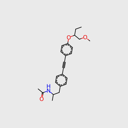 CCC(COC)Oc1ccc(C#Cc2ccc(CC(C)NC(C)=O)cc2)cc1